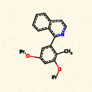 Cc1c(OC(C)C)cc(OC(C)C)cc1-c1nccc2ccccc12